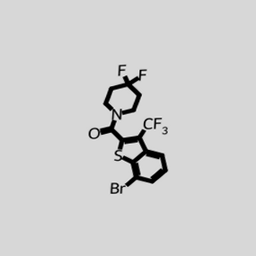 O=C(c1sc2c(Br)cccc2c1C(F)(F)F)N1CCC(F)(F)CC1